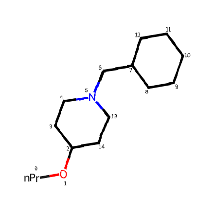 CCCOC1CCN(CC2CCCCC2)CC1